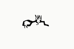 CCCc1nnc(-c2cccnc2)s1